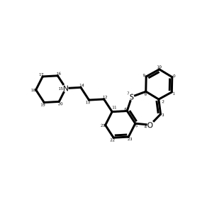 C1=CC2=COC3=C(SC2C=C1)C(CCCN1CCCCC1)CC=C3